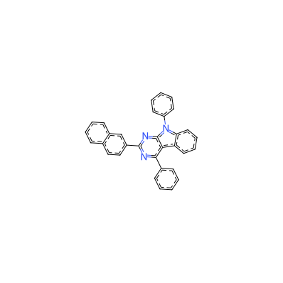 c1ccc(-c2nc(-c3ccc4ccccc4c3)nc3c2c2ccccc2n3-c2ccccc2)cc1